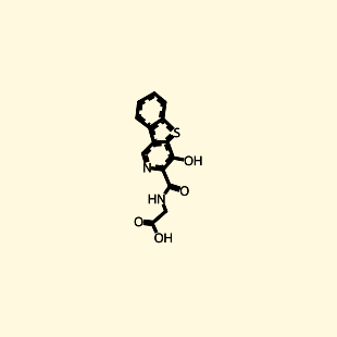 O=C(O)CNC(=O)c1ncc2c(sc3ccccc32)c1O